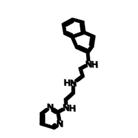 c1cnc(NCCNCCNc2ccc3ccccc3c2)nc1